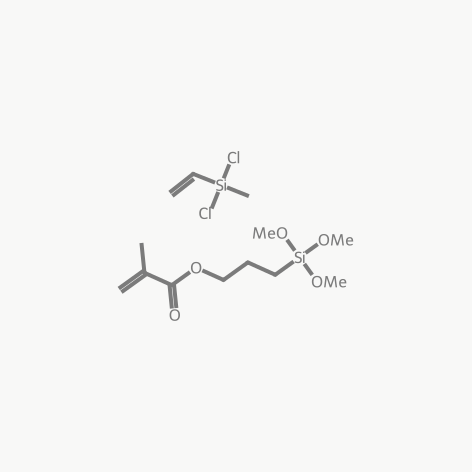 C=C(C)C(=O)OCCC[Si](OC)(OC)OC.C=C[Si](C)(Cl)Cl